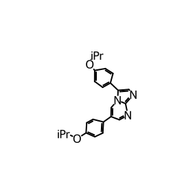 CC(C)Oc1ccc(-c2cnc3ncc(-c4ccc(OC(C)C)cc4)n3c2)cc1